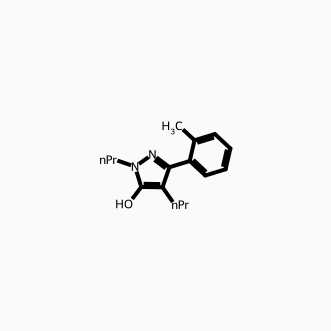 CCCc1c(-c2ccccc2C)nn(CCC)c1O